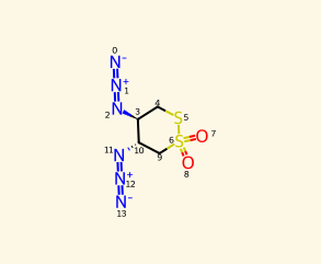 [N-]=[N+]=N[C@H]1CSS(=O)(=O)C[C@@H]1N=[N+]=[N-]